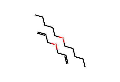 C=CCOCC=C.CCCCCOCCCCC